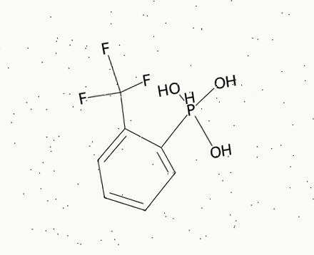 O[PH](O)(O)c1ccccc1C(F)(F)F